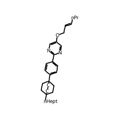 CCCC=CCOc1cnc(-c2ccc(C34CCC(CCCCCCC)(CC3)CC4)cc2)nc1